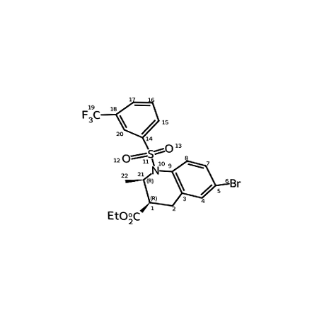 CCOC(=O)[C@@H]1Cc2cc(Br)ccc2N(S(=O)(=O)c2cccc(C(F)(F)F)c2)[C@@H]1C